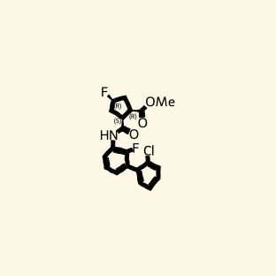 COC(=O)[C@@H]1C[C@H](F)C[C@@H]1C(=O)Nc1cccc(-c2ccccc2Cl)c1F